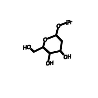 CC(C)OC1CC(O)C(O)C(CO)O1